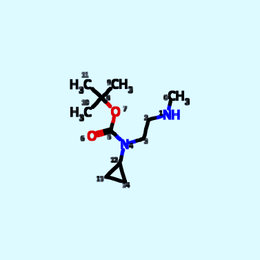 CNCCN(C(=O)OC(C)(C)C)C1CC1